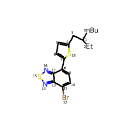 CCCCC(CC)Cc1ccc(-c2ccc(Br)c3nsnc23)s1